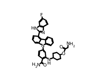 NCC(=O)OC1CCC(Nc2cc(-n3c4ccccc4c4c(-c5nc6ccc(F)cc6[nH]5)cccc43)ccc2C(N)=O)CC1